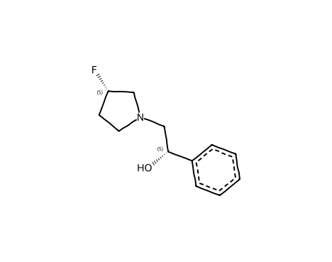 O[C@H](CN1CC[C@H](F)C1)c1ccccc1